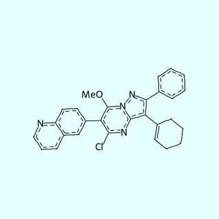 COc1c(-c2ccc3ncccc3c2)c(Cl)nc2c(C3=CCCCC3)c(-c3ccccc3)nn12